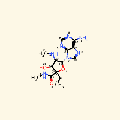 CC[C@]1(C(=O)NC)O[C@@H](n2cnc3c(N)ncnc32)C(NC)C1O